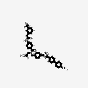 Cc1ccc(-c2ccc(-c3nc(-c4ccc(CN(CC(=O)O)C(=O)c5ccc(NC(=O)Cc6cccc(C(F)(F)F)c6)cc5)cc4)no3)cc2)cc1